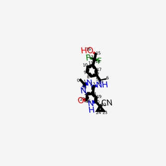 Cc1nc(N[C@H](C)c2cccc(C(F)(F)CO)c2)c2cc(C3(C#N)CC3)[nH]c(=O)c2n1